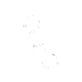 C1=C(Cc2ccccn2)Cc2ccccc21